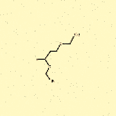 CC(CCOCC(C)(C)C)OCC(C)(C)C